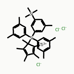 CC1=C(C)C(C)([Si](c2cc(C)cc(C)c2)(c2cc(C)cc(C)c2)c2cc(C)cc([Si](C)(C)C)c2)[C]([Ti+3])=C1C.[Cl-].[Cl-].[Cl-]